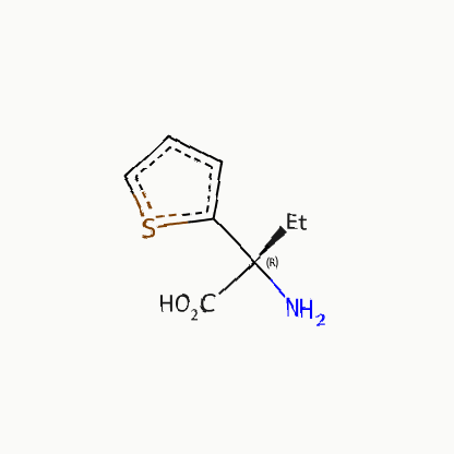 CC[C@@](N)(C(=O)O)c1cccs1